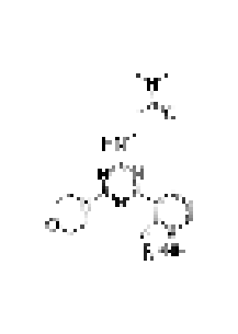 CN(C)C(=O)CCNc1nc(-c2cccc3[nH]ncc23)nc(N2CCOCC2)n1